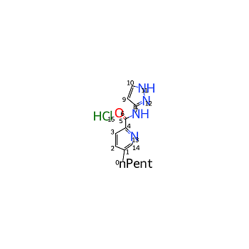 CCCCCc1ccc(C(=O)Nc2cc[nH]n2)nc1.Cl